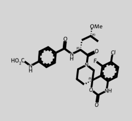 CO[C@H](C)C[C@@H](NC(=O)c1ccc(NC(=O)O)cc1)C(=O)N1CCC[C@@]2(C1)OC(=O)Nc1ccc(Cl)c(F)c12